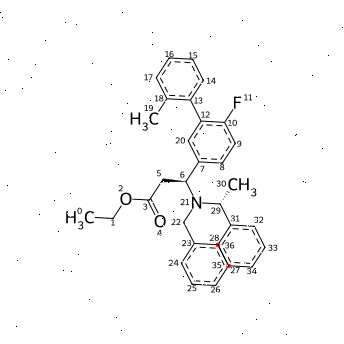 CCOC(=O)C[C@@H](c1ccc(F)c(-c2ccccc2C)c1)N(Cc1ccccc1)[C@H](C)c1ccccc1